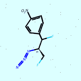 [N-]=[N+]=N[C@H](CF)C(F)c1ccc([N+](=O)[O-])cc1